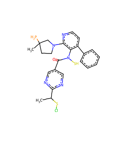 CC(SCl)c1ncc(C(=O)N(S)c2c(-c3ccccc3)ccnc2N2CCC(C)(P)C2)cn1